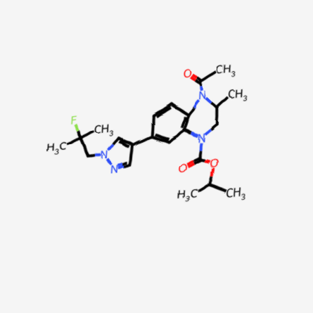 CC(=O)N1c2ccc(-c3cnn(CC(C)(C)F)c3)cc2N(C(=O)OC(C)C)CC1C